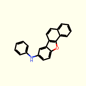 c1ccc(Nc2ccc3oc4c5ccccc5ccc4c3c2)cc1